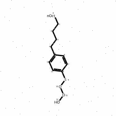 CCCCCCCCCCCCc1ccc(SOOO)cc1